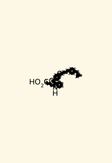 O=C(O)CCCc1[nH]c2ccccc2c1C(=O)c1ccc(OCCCCc2ccc(CC3CC3)cc2)cc1